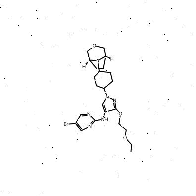 CCOCCOc1nn(C2CCC(N3[C@@H]4CC[C@H]3COC4)CC2)cc1Nc1ncc(Br)cn1